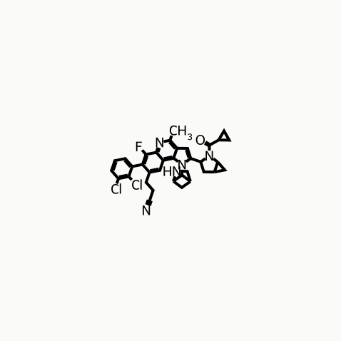 Cc1nc2c(F)c(-c3cccc(Cl)c3Cl)c(CCC#N)cc2c2c1cc(C1CC3CC3N1C(=O)C1CC1)n2C1C2CNC1C2